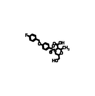 CC1OC(CO)CN(S(=O)(=O)c2ccc(OCc3ccc(F)cc3)cc2)C1C(=O)O